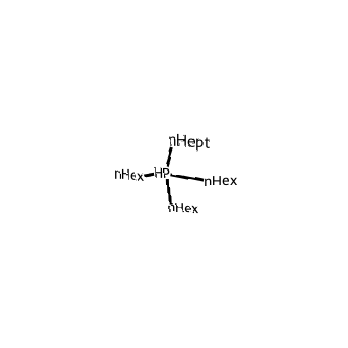 CCCCCCC[PH](CCCCCC)(CCCCCC)CCCCCC